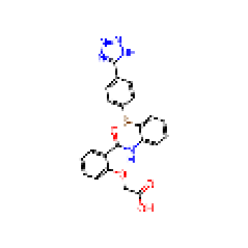 O=C(O)COc1ccccc1C(=O)Nc1ccccc1Sc1ccc(-c2nnn[nH]2)cc1